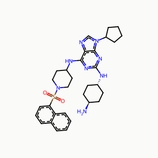 N[C@H]1CC[C@H](Nc2nc(NC3CCN(S(=O)(=O)c4cccc5ccccc45)CC3)c3ncn(C4CCCC4)c3n2)CC1